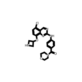 O=C(c1ccc(Nc2ncc3c(Cl)ccc(OC4CNC4)c3n2)cc1)N1CCOCC1